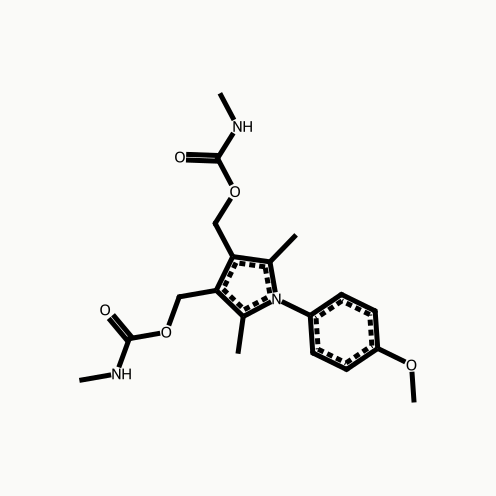 CNC(=O)OCc1c(COC(=O)NC)c(C)n(-c2ccc(OC)cc2)c1C